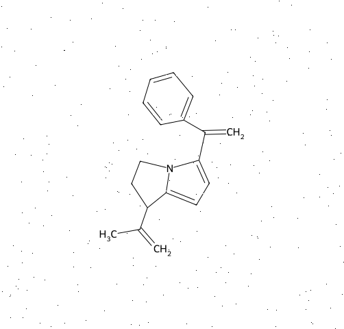 C=C(c1ccccc1)c1ccc2n1CCC2C(=C)C